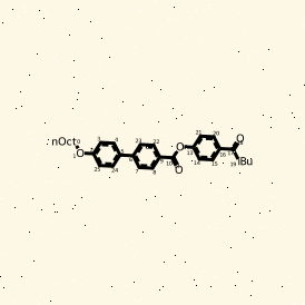 CCCCCCCCOc1ccc(-c2ccc(C(=O)Oc3ccc(C(=O)C(C)CC)cc3)cc2)cc1